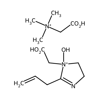 C=CCC1=NCC[N+]1(O)CC(=O)O.C[N+](C)(C)CC(=O)O